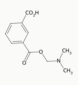 CN(C)COC(=O)c1cccc(C(=O)O)c1